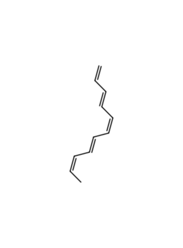 C=C/C=C/C=C\C=C\C=C/C